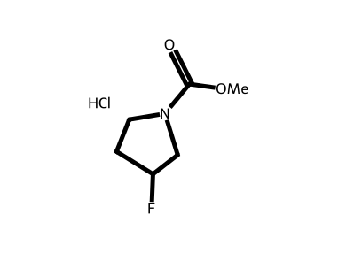 COC(=O)N1CCC(F)C1.Cl